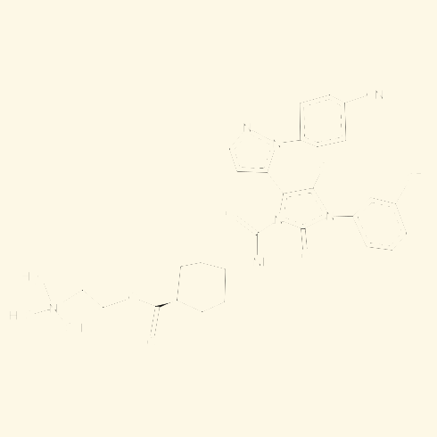 Cc1c(-c2ccnn2-c2ccc(C#N)cc2)n(C(=O)N[C@H]2CC[C@H](C(=O)OCC[N+](C)(C)C)CC2)c(=O)n1-c1cccc(C(F)(F)F)c1